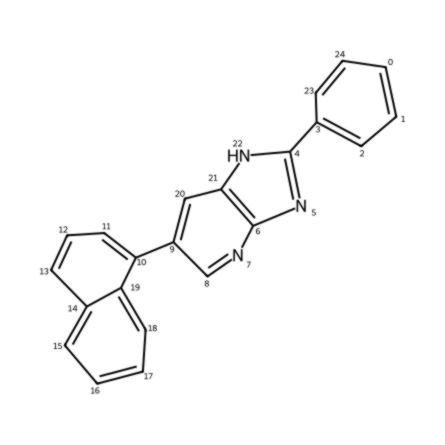 c1ccc(-c2nc3ncc(-c4cccc5ccccc45)cc3[nH]2)cc1